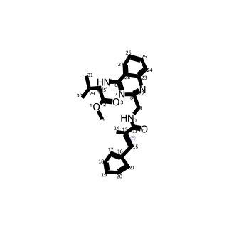 COC(=O)[C@@H](Nc1nc(CNC(=O)/C(C)=C/c2ccccc2)nc2ccccc12)C(C)C